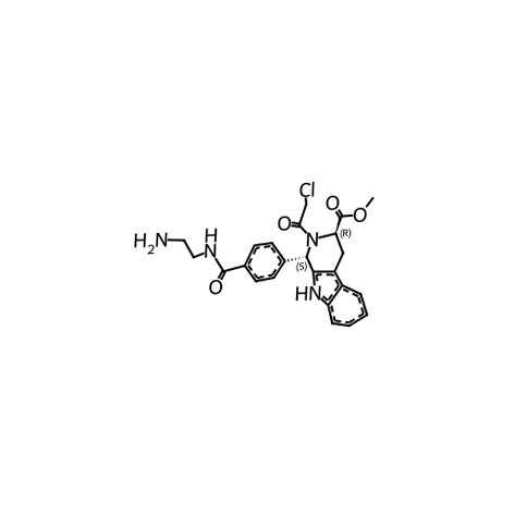 COC(=O)[C@H]1Cc2c([nH]c3ccccc23)[C@H](c2ccc(C(=O)NCCN)cc2)N1C(=O)CCl